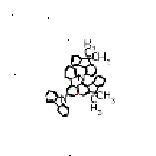 CC1(C)c2ccccc2-c2c(N(c3ccccc3-c3cccc(-n4c5ccccc5c5ccccc54)c3)c3cccc4c3-c3ccccc3C4(C)C)cccc21